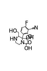 COc1c(C2(C(C)O)C(CO)NCCN2C(=O)O)ccc(F)c1C#N